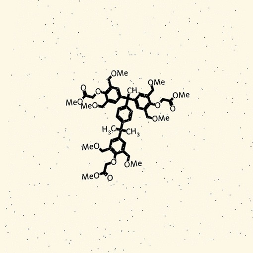 COCc1cc(C(C)(C)c2ccc(C(C)(c3cc(COC)c(OCC(=O)OC)c(COC)c3)c3cc(COC)c(OCC(=O)OC)c(COC)c3)cc2)cc(COC)c1OCC(=O)OC